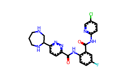 O=C(Nc1ccc(F)cc1C(=O)Nc1ccc(Cl)cn1)c1ccc(C2CNCCCN2)nn1